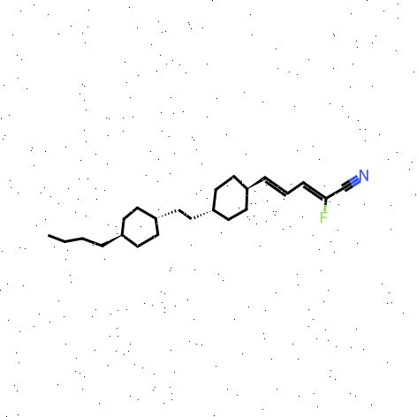 CCCC[C@H]1CC[C@H](CC[C@H]2CC[C@H](C=CC=C(F)C#N)CC2)CC1